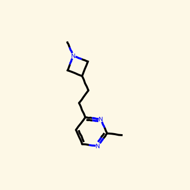 Cc1nccc(CCC2CN(C)C2)n1